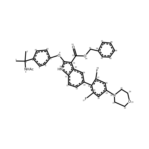 CC(=O)NC(C)(C)c1ccc(Oc2[nH]c3ccc(-c4c(F)cc(N5CCOCC5)cc4F)cc3c2C(=O)OCc2ccccc2)cc1